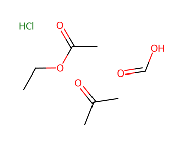 CC(C)=O.CCOC(C)=O.Cl.O=CO